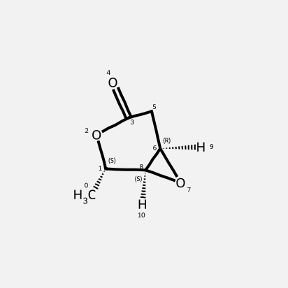 C[C@@H]1OC(=O)C[C@H]2O[C@@H]12